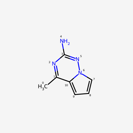 Cc1nc(N)nn2cccc12